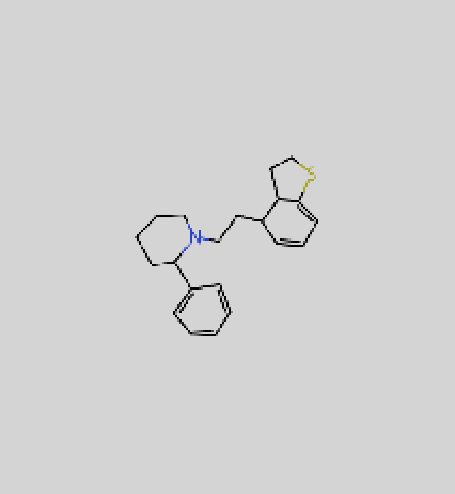 C1=CC(CCN2CCCCC2c2ccccc2)C2CCSC2=C1